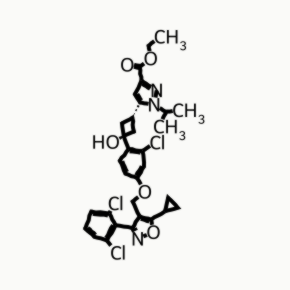 CCOC(=O)c1cc([C@H]2C[C@@](O)(c3ccc(OCc4c(-c5c(Cl)cccc5Cl)noc4C4CC4)cc3Cl)C2)n(C(C)C)n1